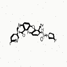 N#Cc1c(N[S+]([O-])N2CCC(F)C2)ccc(F)c1Oc1ccc2ncn(-c3ccc(F)nc3)c(=O)c2c1